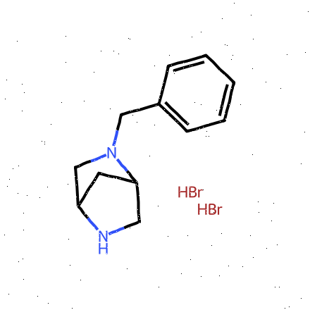 Br.Br.c1ccc(CN2CC3CC2CN3)cc1